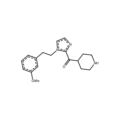 COc1cccc(CCn2ccnc2C(=O)C2CCNCC2)c1